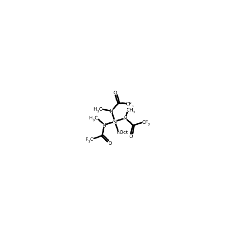 CCCCCCCC[Si](N(C)C(=O)C(F)(F)F)(N(C)C(=O)C(F)(F)F)N(C)C(=O)C(F)(F)F